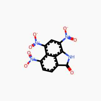 O=C1Nc2c([N+](=O)[O-])cc([N+](=O)[O-])c3c([N+](=O)[O-])ccc1c23